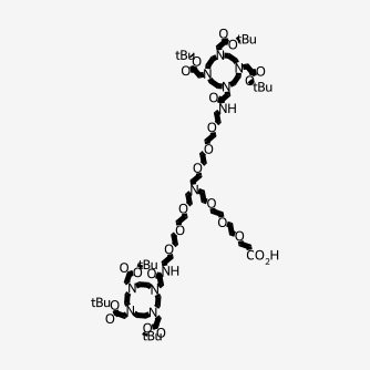 CC(C)(C)OC(=O)CN1CCN(CC(=O)NCCOCCOCCOCCN(CCOCCOCCOCCNC(=O)CN2CCN(CC(=O)OC(C)(C)C)CCN(CC(=O)OC(C)(C)C)CCN(CC(=O)OC(C)(C)C)CC2)CCOCCOCCOCCC(=O)O)CCN(CC(=O)OC(C)(C)C)CCN(CC(=O)OC(C)(C)C)CC1